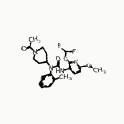 COc1ccc(NC(=O)N(c2ccccc2C)C2CCN(C(C)=O)CC2)c(OC(F)F)n1